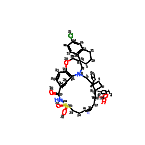 C[C@@]12CC[C@H]1CN1C[C@@]3(CCCc4cc(Cl)ccc43)COc3ccc(cc31)C(=O)NS(=O)(=O)CC/C=C/C[C@H]2O